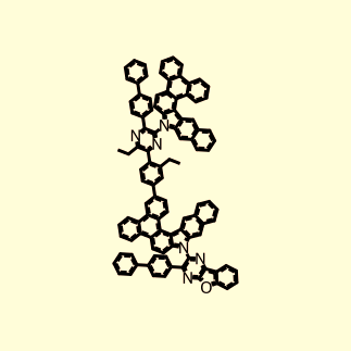 CCc1cc(-c2ccc3c(c2)c2ccccc2c2ccc4c(c5cc6ccccc6cc5n4-c4nc5c(nc4-c4ccc(-c6ccccc6)cc4)oc4ccccc45)c23)ccc1-c1nc(-n2c3cc4ccccc4cc3c3c4c5ccccc5c5ccccc5c4ccc32)c(-c2ccc(-c3ccccc3)cc2)nc1CC